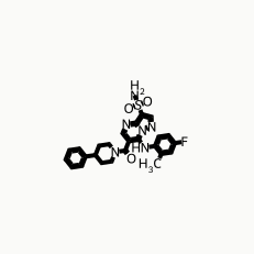 Cc1cc(F)ccc1Nc1c(C(=O)N2CCC(c3ccccc3)CC2)cnc2c(S(N)(=O)=O)cnn12